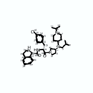 CC(C)CN(C1CCN(C(C)C)CC1)[C@H]1CCN(C(=O)[C@@H](Cc2ccc(Cl)cc2)NC(=O)[C@@H]2NCCc3ccccc32)C1